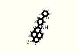 Brc1ccc2ccc3c4[nH]c5cc(-c6ccccc6)ccc5c4cc4ccc1c2c43